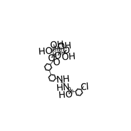 O=C(O[C@@H]1O[C@H](C(=O)O)[C@@H](O)[C@H](O)[C@H]1O)c1cccc(-c2cccc(NCCNC[C@H](O)c3cccc(Cl)c3)c2)c1